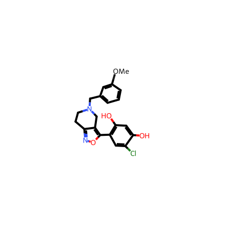 COc1cccc(CN2CCc3noc(-c4cc(Cl)c(O)cc4O)c3C2)c1